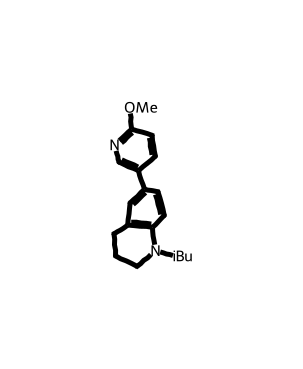 CCC(C)N1CCCc2cc(-c3ccc(OC)nc3)ccc21